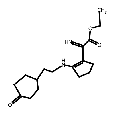 CCOC(=O)C(=N)C1=C(NCCC2CCC(=O)CC2)CCC1